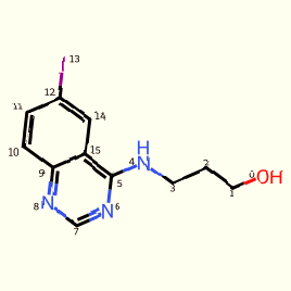 OCCCNc1ncnc2ccc(I)cc12